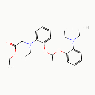 CC(=O)OCOC(=O)CN(CC(=O)O)c1ccccc1OC(C)Oc1ccccc1N(CC(=O)O)CC(=O)O